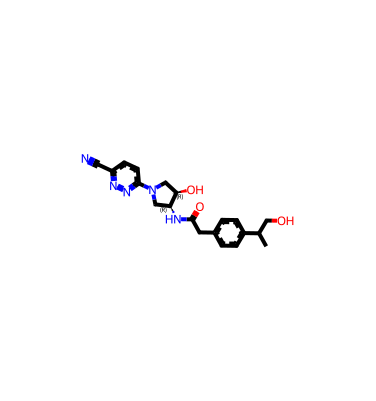 CC(CO)c1ccc(CC(=O)N[C@@H]2CN(c3ccc(C#N)nn3)C[C@H]2O)cc1